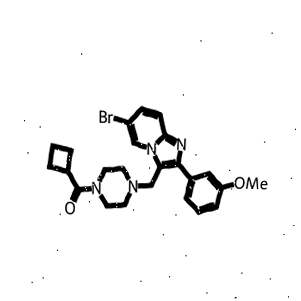 COc1cccc(-c2nc3ccc(Br)cn3c2CN2CCN(C(=O)C3CCC3)CC2)c1